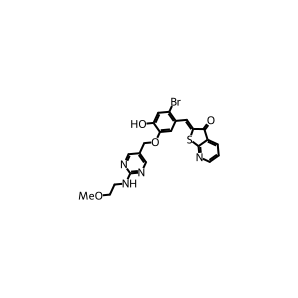 COCCNc1ncc(COc2cc(/C=C3\Sc4ncccc4C3=O)c(Br)cc2O)cn1